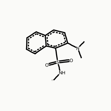 [CH]NS(=O)(=O)c1c(N(C)C)ccc2ccccc12